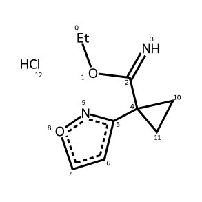 CCOC(=N)C1(c2ccon2)CC1.Cl